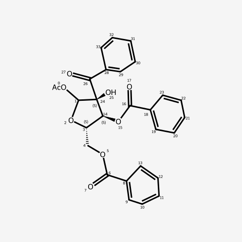 CC(=O)OC1O[C@@H](COC(=O)c2ccccc2)[C@H](OC(=O)c2ccccc2)[C@@]1(O)C(=O)c1ccccc1